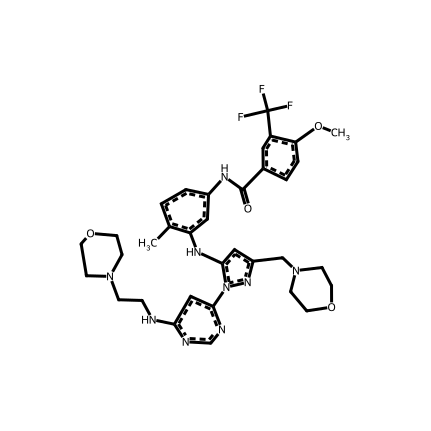 COc1ccc(C(=O)Nc2ccc(C)c(Nc3cc(CN4CCOCC4)nn3-c3cc(NCCN4CCOCC4)ncn3)c2)cc1C(F)(F)F